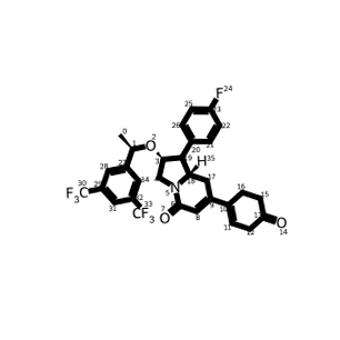 C[C@@H](O[C@H]1CN2C(=O)C=C(C3=CCC(=O)CC3)C[C@H]2C1c1ccc(F)cc1)c1cc(C(F)(F)F)cc(C(F)(F)F)c1